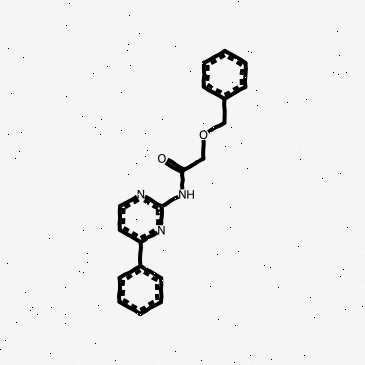 O=C(COCc1ccccc1)Nc1nccc(-c2ccccc2)n1